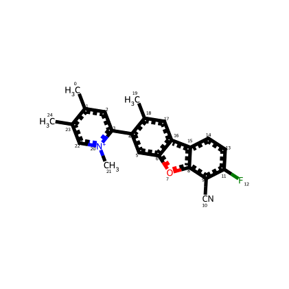 Cc1cc(-c2cc3oc4c(C#N)c(F)ccc4c3cc2C)[n+](C)cc1C